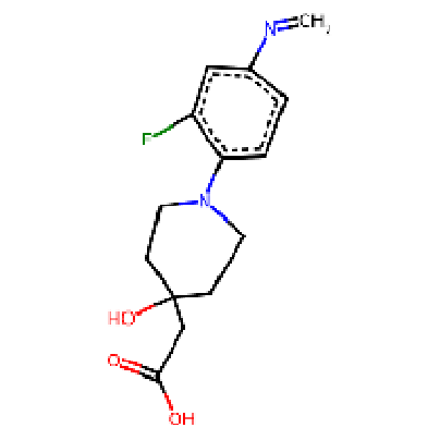 C=Nc1ccc(N2CCC(O)(CC(=O)O)CC2)c(F)c1